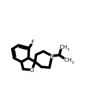 CC(C)N1CCC2(CC1)OCC1C=CC=C(F)C12